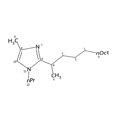 CCCCCCCCCCCC(C)c1nc(C)cn1CCC